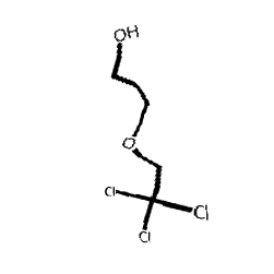 OCCOCC(Cl)(Cl)Cl